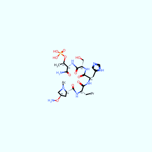 CC(=O)N1C[C@H](ON)C[C@H]1C(=O)N[C@@H](CC(C)C)C(=O)N[C@@H](Cc1cnc[nH]1)C(=O)N[C@@H](CO)C(=O)N[C@H](C(N)=O)[C@@H](C)OP(=O)(O)O